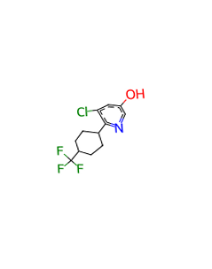 Oc1cnc(C2CCC(C(F)(F)F)CC2)c(Cl)c1